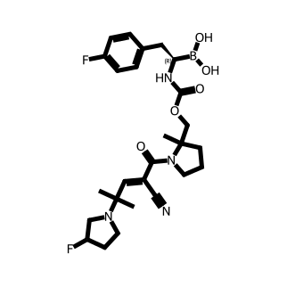 CC(C)(C=C(C#N)C(=O)N1CCCC1(C)COC(=O)N[C@@H](Cc1ccc(F)cc1)B(O)O)N1CCC(F)C1